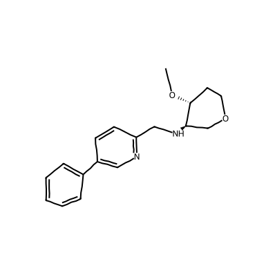 CO[C@@H]1CCOC[C@H]1NCc1ccc(-c2ccccc2)cn1